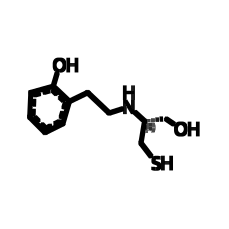 OC[C@H](CS)NCCc1ccccc1O